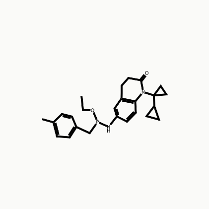 CCOP(Cc1ccc(C)cc1)Nc1ccc2c(c1)CCC(=O)N2C1(C2CC2)CC1